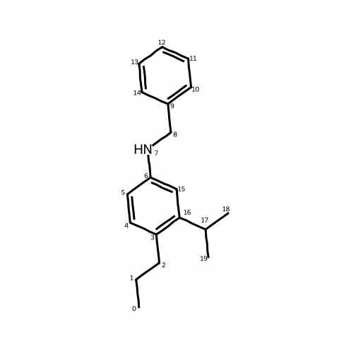 CCCc1ccc(NCc2ccccc2)cc1C(C)C